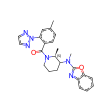 Cc1ccc(C(=O)N2CCCC(N(C)c3nc4ccccc4o3)[C@@H]2C)c(-n2nccn2)c1